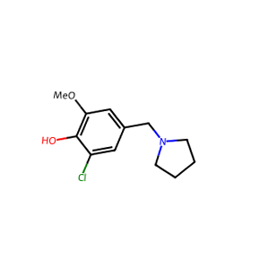 COc1cc(CN2CCCC2)cc(Cl)c1O